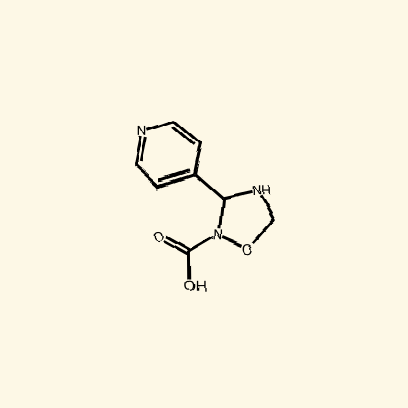 O=C(O)N1OCNC1c1ccncc1